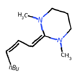 CCCC/C=C\C=C1N(C)CCCN1C